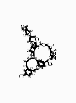 C[C@@H]1[C@@H](C)CCC[C@@H]([C@H]2OC[C@H](N3CC4(COC4)C3)CO2)[C@@H]2CC[C@H]2CN2CCCCc3cc(Cl)ccc3COc3ccc(cc32)C(=O)NS1(=O)=O